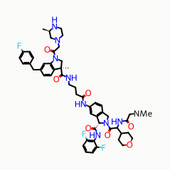 CNCC(=O)NC(C(=O)N1Cc2ccc(NC(=O)CCCNC(=O)[C@]3(C)CN(C(=O)CN4CCN[C@H](C)C4)c4cc(Cc5ccc(F)cc5)ccc43)cc2[C@H]1C(=O)Nc1c(F)cccc1F)C1CCOCC1